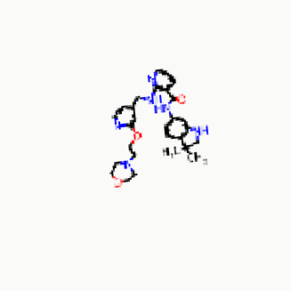 CC1(C)CNc2cc(NC(=O)c3cccnc3NCc3ccnc(OCCN4CCOCC4)c3)ccc21